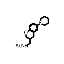 CC(=O)NCC1COc2ccc(N3CCCCC3)cc2C1